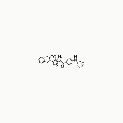 O=C(Nc1scc(C2CCc3ccccc3C2)c1C(=O)O)c1ccc(NC2CCCOC2)cc1